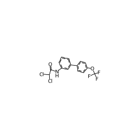 O=C(Nc1cccc(-c2ccc(OC(F)(F)F)cc2)c1)C(Cl)Cl